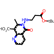 Cc1c(C(=O)O)c2ncccc2c(=O)n1NCCC(=O)OC(C)(C)C